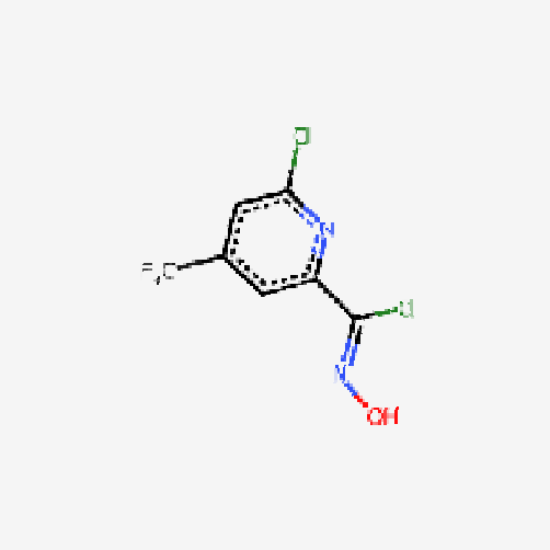 O/N=C(\Cl)c1cc(C(F)(F)F)cc(Cl)n1